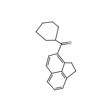 O=C(c1ccc2cccc3c2c1CC3)C1CCCCC1